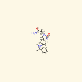 CCN(C)[C@]1(c2ccccc2)CC[C@]2(CC1)CN(CC(C)(C)C(N)=O)C(=O)N2